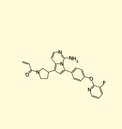 C=CC(=O)N1CCC(c2cc(-c3ccc(Oc4ncccc4F)cc3)n3c(N)nccc23)C1